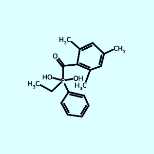 CCP(O)(O)(C(=O)c1c(C)cc(C)cc1C)c1ccccc1